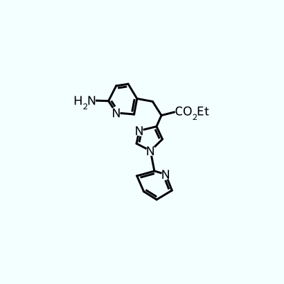 CCOC(=O)C(Cc1ccc(N)nc1)c1cn(-c2ccccn2)cn1